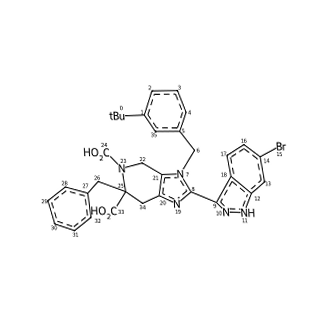 CC(C)(C)c1cccc(Cn2c(-c3n[nH]c4cc(Br)ccc34)nc3c2CN(C(=O)O)C(Cc2ccccc2)(C(=O)O)C3)c1